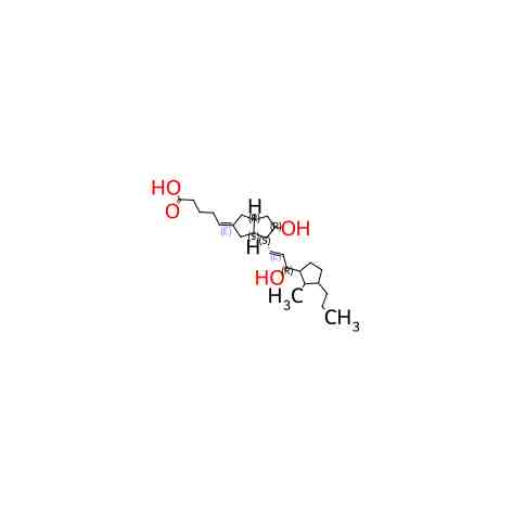 CCCC1CCC([C@@H](O)/C=C/[C@@H]2[C@H]3C/C(=C/CCCC(=O)O)C[C@@H]3C[C@H]2O)C1C